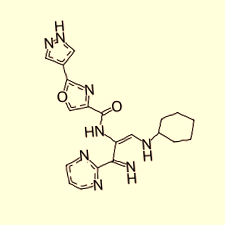 N=C(/C(=C\NC1CCCCC1)NC(=O)c1coc(-c2cn[nH]c2)n1)c1ncccn1